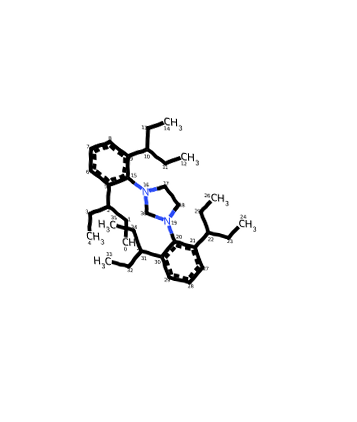 CCC(CC)c1cccc(C(CC)CC)c1N1CCN(c2c(C(CC)CC)cccc2C(CC)CC)C1